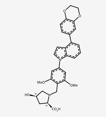 COc1cc(-n2ccc3c(-c4ccc5c(c4)OCCO5)cccc32)cc(OC)c1CN1C[C@H](O)C[C@@H]1C(=O)O